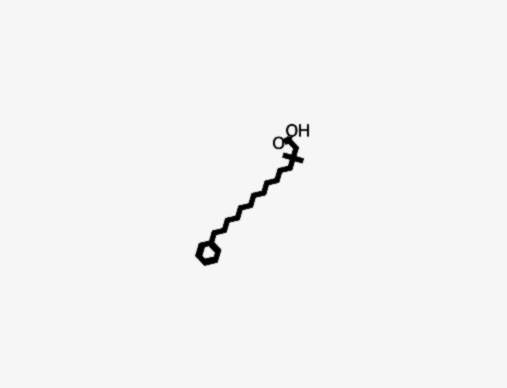 CC(C)(CCCCCCCCCCCCc1ccccc1)CC(=O)O